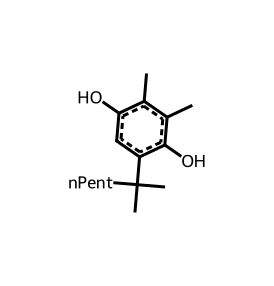 CCCCCC(C)(C)c1cc(O)c(C)c(C)c1O